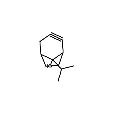 CC(C)C1(O)C2C#CCC1CC2